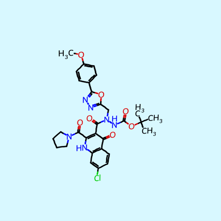 COc1ccc(-c2nnc(CN(NC(=O)OC(C)(C)C)C(=O)c3c(C(=O)N4CCCC4)[nH]c4cc(Cl)ccc4c3=O)o2)cc1